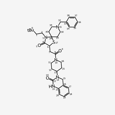 CC(C)(C)CCN1C(=O)C(CC(=O)N2CCC(N3Cc4ccccc4NC3=O)CC2)SC12CCN(Cc1ccccc1)CC2